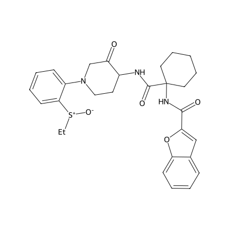 CC[S+]([O-])c1ccccc1N1CCC(NC(=O)C2(NC(=O)c3cc4ccccc4o3)CCCCC2)C(=O)C1